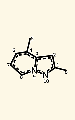 Cc1cc2c(C)cccn2n1